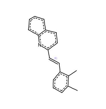 Cc1cccc(/C=C/c2ccc3ccccc3n2)c1C